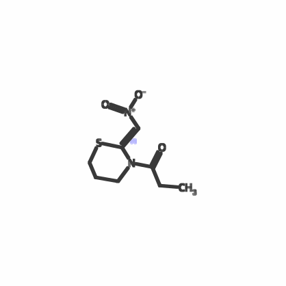 CCC(=O)N1CCCS/C1=C\[N+](=O)[O-]